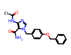 CCC(=O)Nc1ncn(Cc2ccc(OCc3ccccc3)cc2)c1C(N)=O